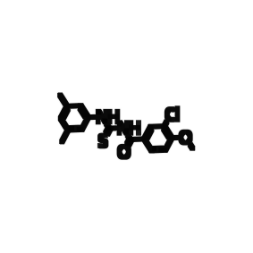 COc1ccc(C(=O)NC(=S)Nc2cc(C)cc(C)c2)cc1Cl